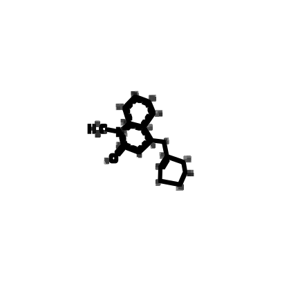 Cn1c(=O)cc(CC2=CCCCC2)c2ccccc21